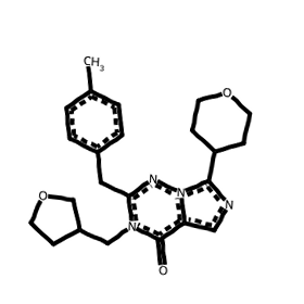 Cc1ccc(Cc2nn3c(C4CCOCC4)ncc3c(=O)n2CC2CCOC2)cc1